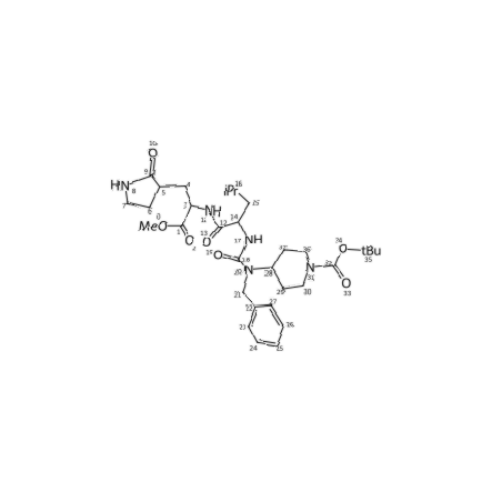 COC(=O)C(CC1CCNC1=O)NC(=O)C(CC(C)C)NC(=O)N(Cc1ccccc1)C1CCN(C(=O)OC(C)(C)C)CC1